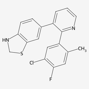 Cc1cc(F)c(Cl)cc1-c1ncccc1-c1ccc2c(c1)SCN2